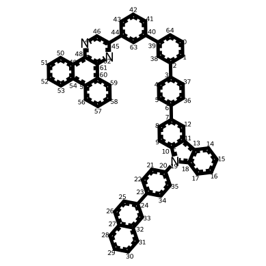 c1cc(-c2ccc(-c3ccc4c(c3)c3ccccc3n4-c3ccc(-c4ccc5ccccc5c4)cc3)cc2)cc(-c2cccc(-c3cnc4c5ccccc5c5ccccc5c4n3)c2)c1